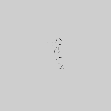 Cc1nnc(NC(=O)c2cc(C)n(-c3ccccc3C(F)(F)F)c2C)s1